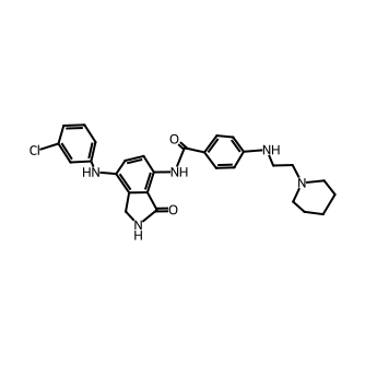 O=C(Nc1ccc(Nc2cccc(Cl)c2)c2c1C(=O)NC2)c1ccc(NCCN2CCCCC2)cc1